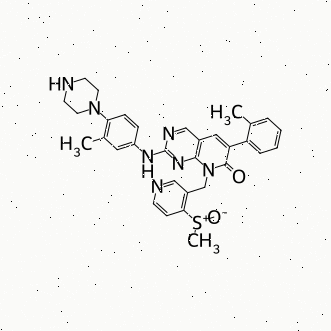 Cc1ccccc1-c1cc2cnc(Nc3ccc(N4CCNCC4)c(C)c3)nc2n(Cc2cnccc2[S+](C)[O-])c1=O